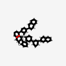 c1ccc(-c2ccc(-c3ccc4ccccc4c3)cc2N(c2ccc(-c3cccc(-c4ccc5ccccc5c4)c3)cc2)c2cccc3oc4ccccc4c23)cc1